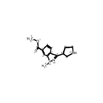 COC(=O)c1ccc2c(C3CCNC3)nn(C)c2c1